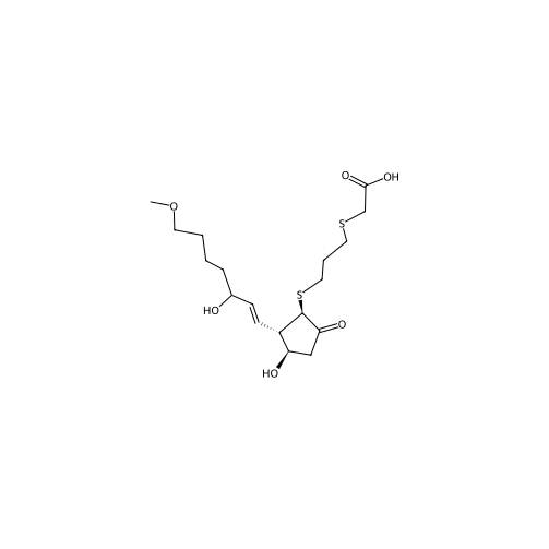 COCCCCC(O)/C=C/[C@H]1[C@H](O)CC(=O)[C@@H]1SCCCSCC(=O)O